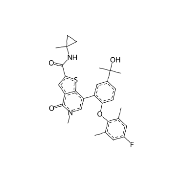 Cc1cc(F)cc(C)c1Oc1ccc(C(C)(C)O)cc1-c1cn(C)c(=O)c2cc(C(=O)NC3(C)CC3)sc12